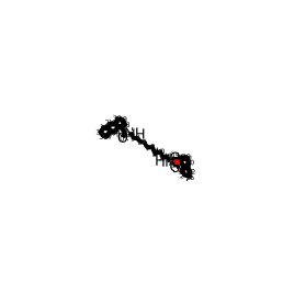 O=C(NCCCCCCCCCCNS(=O)(=O)c1cccc2ccccc12)c1cccc2cc3ccccc3cc12